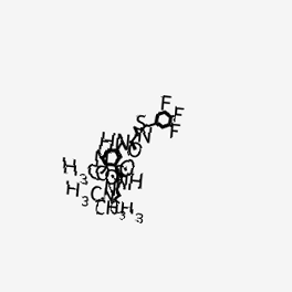 COc1ncc(NC(=O)c2csc(-c3cc(F)c(F)c(F)c3)n2)cc1S(=O)(=O)Nc1cc(C)n(C(C)C)n1